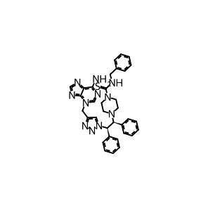 Nc1ncn(Cc2cn([C@H](c3ccccc3)[C@H](c3ccccc3)N3CCN(C(=S)NCc4ccccc4)CC3)nn2)c2ncnc1-2